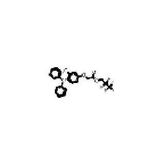 Cc1cc(OCC(=O)OCC(F)(F)C(F)(F)F)ccc1[S+](c1ccccc1)c1ccccc1